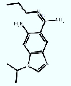 CCC/N=C(/N)c1cc2ncn(C(C)C)c2cc1N